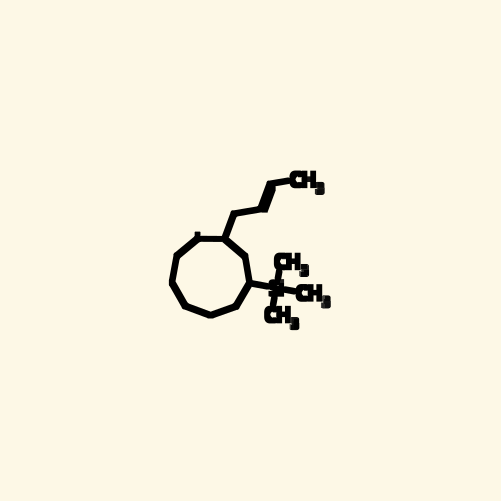 CC=CCC1[CH]CCCCCC([Si](C)(C)C)C1